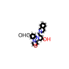 O=Cc1ccc(N2CCC(O)CC2CN2CCc3ccccc3C2)c(N2CCOCC2)c1